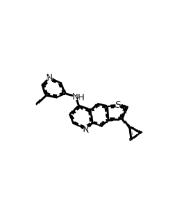 Cc1cncc(Nc2ccnc3cc4c(C5CC5)csc4cc23)c1